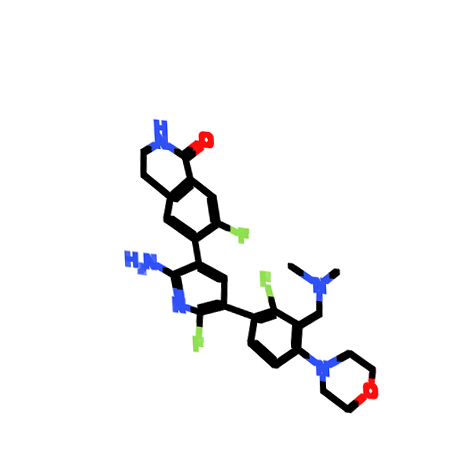 CN(C)Cc1c(N2CCOCC2)ccc(-c2cc(-c3cc4c(cc3F)C(=O)NCC4)c(N)nc2F)c1F